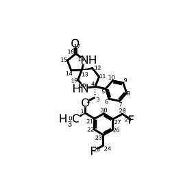 C[C@@H](OC[C@@]1(c2ccccc2)CC[C@]2(CCC(=O)N2)CN1)c1cc(CF)cc(CF)c1